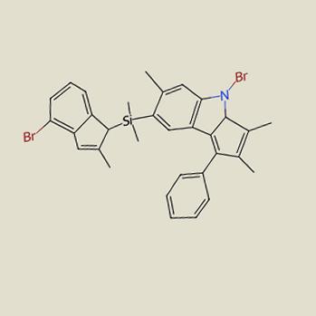 CC1=Cc2c(Br)cccc2C1[Si](C)(C)c1cc2c(cc1C)N(Br)C1C(C)=C(C)C(c3ccccc3)=C21